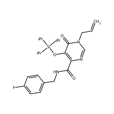 C=CCn1cnc(C(=O)NCc2ccc(F)cc2)c(O[Si](C(C)C)(C(C)C)C(C)C)c1=O